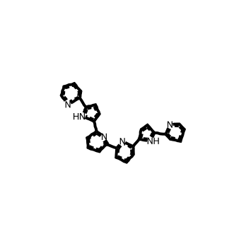 c1ccc(-c2ccc(-c3cccc(-c4cccc(-c5ccc(-c6ccccn6)[nH]5)n4)n3)[nH]2)nc1